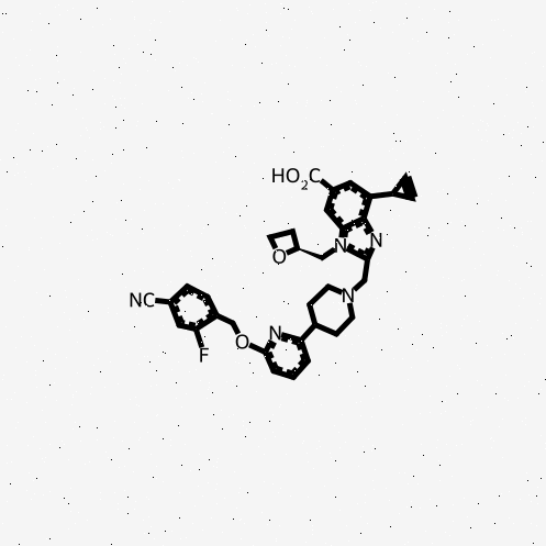 N#Cc1ccc(COc2cccc(C3CCN(Cc4nc5c(C6C#C6)cc(C(=O)O)cc5n4C[C@@H]4CCO4)CC3)n2)c(F)c1